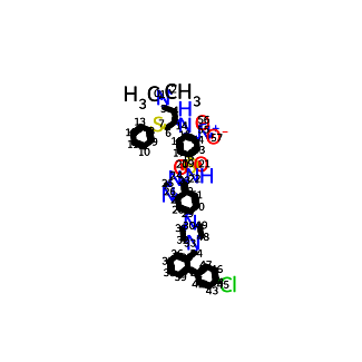 CN(C)CCC(CSc1ccccc1)Nc1ccc(S(=O)(=O)Nc2ncnc3cc(N4CCN(Cc5ccccc5-c5ccc(Cl)cc5)CC4)ccc23)cc1[N+](=O)[O-]